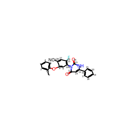 Cc1ccccc1Oc1cc(-n2c(=O)cc(-c3ccccc3)[nH]c2=O)c(F)cc1C#N